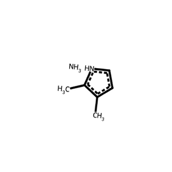 Cc1cc[nH]c1C.N